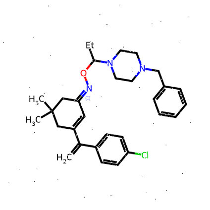 C=C(C1=C/C(=N/OC(CC)N2CCN(Cc3ccccc3)CC2)CC(C)(C)C1)c1ccc(Cl)cc1